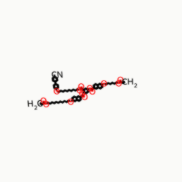 C=CC(=O)OCCCCCCCCCCCOc1ccc2cc(C(=O)Oc3ccc(OC(=O)c4ccc5cc(OCCCCCCOC(=O)C=C)ccc5c4)cc3C(=O)OCCCCCCCCCCOc3ccc(-c4ccc(C#N)cc4)cc3)ccc2c1